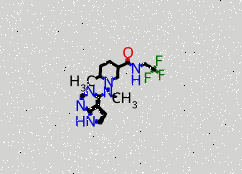 CC1CCC(C(=O)NCC(F)(F)F)CN1N(C)c1ncnc2[nH]ccc12